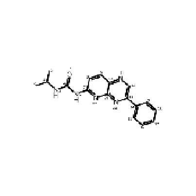 CC(C)NC(=O)Nc1ccc2ncc(-c3ccccc3)nc2n1